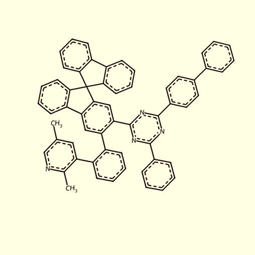 Cc1cnc(C)c(-c2ccccc2-c2cc3c(cc2-c2nc(-c4ccccc4)nc(-c4ccc(-c5ccccc5)cc4)n2)C2(c4ccccc4-c4ccccc42)c2ccccc2-3)c1